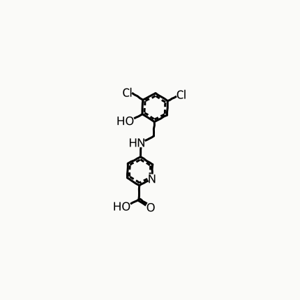 O=C(O)c1ccc(NCc2cc(Cl)cc(Cl)c2O)cn1